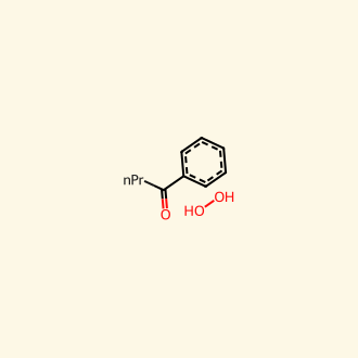 CCCC(=O)c1ccccc1.OO